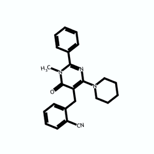 Cn1c(-c2ccccc2)nc(N2CCCCC2)c(Cc2ccccc2C#N)c1=O